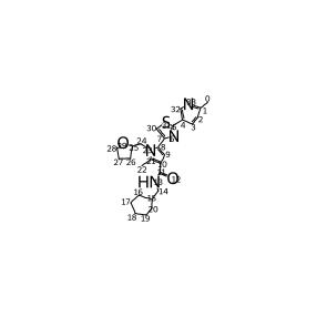 Cc1ccc(-c2nc(-c3cc(C(=O)NCC4CCCCC4)c(C)n3CC3CCCO3)cs2)cn1